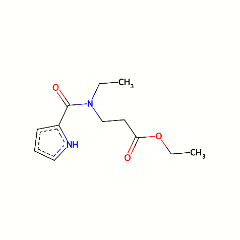 CCOC(=O)CCN(CC)C(=O)c1ccc[nH]1